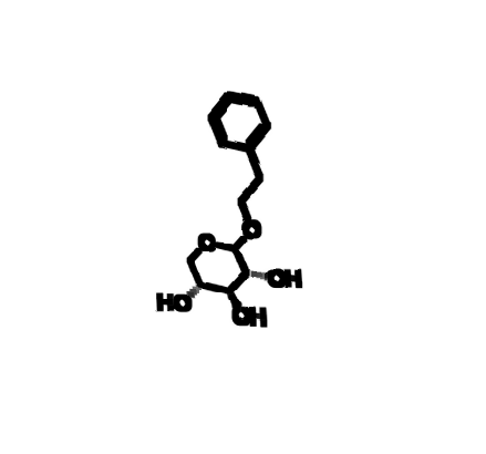 O[C@H]1[C@H](O)COC(OCCC2=CC=C=C=C2)[C@@H]1O